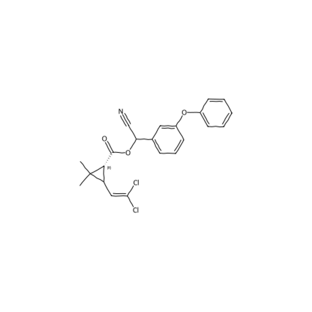 CC1(C)C(C=C(Cl)Cl)[C@H]1C(=O)OC(C#N)c1cccc(Oc2ccccc2)c1